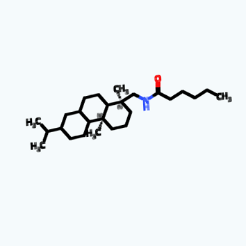 CCCCCC(=O)NC[C@@]1(C)CCC[C@@]2(C)C3CCC(C(C)C)CC3CCC12